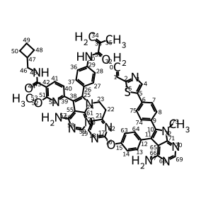 C=Cc1ncc(-c2ccc(-c3c(-c4ccc(Oc5nccc(CCn6c(-c7ccc(NC(=O)C(=C)C)cc7)c(-c7ccc(C(=O)NCC8CCC8)c(OC)n7)c7c(N)ncnc76)n5)cc4)c4c(N)ncnc4n3C)cc2)s1